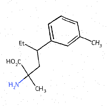 CCC(CC(C)(N)C(=O)O)c1cccc(C)c1